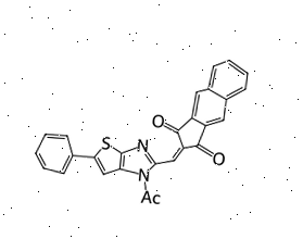 CC(=O)n1c(C=C2C(=O)c3cc4ccccc4cc3C2=O)nc2sc(-c3ccccc3)cc21